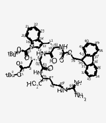 CC(C)(C)OC(=O)CC[C@H](NC(=O)[C@H](Cc1cn(C(=O)OC(C)(C)C)c2ccccc12)NC(=O)OCC1c2ccccc2-c2ccccc21)C(=O)N[C@@H](CCCNC(=N)N)C(=O)O